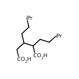 CC(C)CCC(CC(=O)O)C(CCC(C)C)C(=O)O